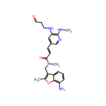 CNc1ncc(/C=C/C(=O)N(C)Cc2c(C)oc3c(N)cccc23)cc1NCCC=O